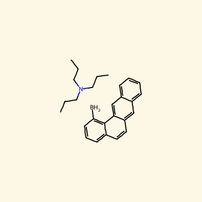 Bc1cccc2ccc3cc4ccccc4cc3c12.CCCN(CCC)CCC